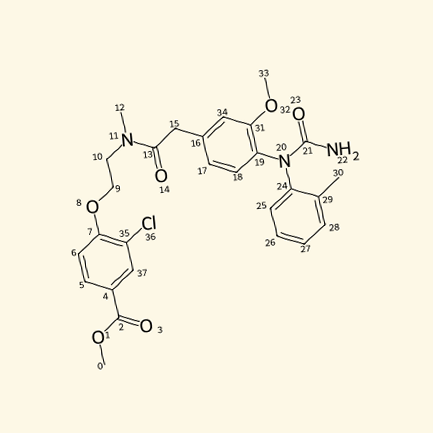 COC(=O)c1ccc(OCCN(C)C(=O)Cc2ccc(N(C(N)=O)c3ccccc3C)c(OC)c2)c(Cl)c1